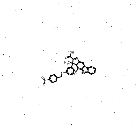 Cc1c2c(cc3c1[nH]c1ccccc13)N=C(C(=O)O)C2(C)c1cccc(OCc2ccc([N+](=O)[O-])cc2)c1